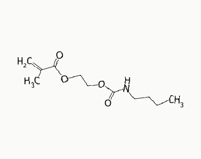 C=C(C)C(=O)OCCOC(=O)NCCCC